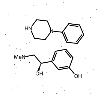 CNC[C@H](O)c1cccc(O)c1.c1ccc(N2CCNCC2)cc1